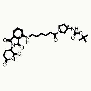 CC(C)(C)OC(=O)N[C@@H]1CCN(C(=O)CCCCCNc2cccc3c2C(=O)N(C2CCC(=O)NC2=O)C3=O)C1